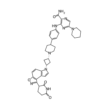 NC(=O)c1ncc(N2CCCCC2)nc1Nc1ccc(C2CCN([C@H]3C[C@@H](n4ccc5c6c(C7CCC(=O)NC7=O)noc6ccc54)C3)CC2)cc1